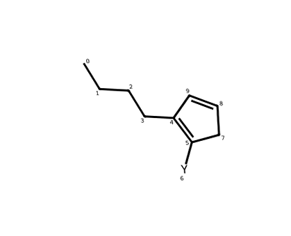 CCCCC1=[C]([Y])CC=C1